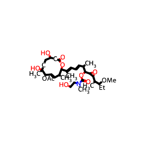 CCC(OC)C(C)C1OC1C(OC(=O)N(C)CCO)C(C)/C=C/C=C(\C)C1OC(=O)CC(O)CCC(C)(O)C(OC(C)=O)/C=C/C1C